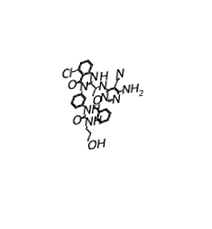 N#Cc1c(N)ncnc1NC(COCc1ccccc1)c1nc2cccc(Cl)c2c(=O)n1-c1cccc(NC(=O)NCCCO)c1